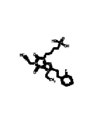 C#CCn1c(=O)c2c(nc(CCc3ccccc3F)n2CC)n(CCCCP(=O)(O)O)c1=O